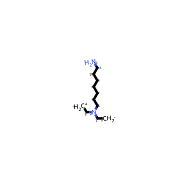 [CH2]CN(C[CH2])CCCCCCCN